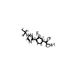 CC(C)(C)n1cnc(-c2ccc(C(=O)O)cc2F)n1